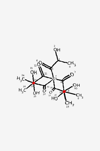 CC(O)[C](=O)[Zn]([C](=O)C(C)O)([C](=O)C(C)O)([C](=O)C(C)O)[C](=O)C(C)O